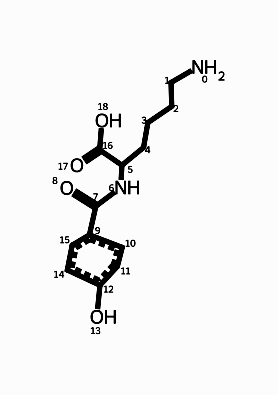 NCCCCC(NC(=O)c1ccc(O)cc1)C(=O)O